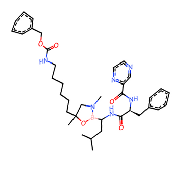 CC(C)CC(NC(=O)[C@H](Cc1ccccc1)NC(=O)c1cnccn1)B1OC(C)(CCCCCCNC(=O)OCc2ccccc2)CN1C